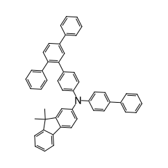 CC1(C)c2ccccc2-c2ccc(N(c3ccc(-c4ccccc4)cc3)c3ccc(-c4cc(-c5ccccc5)ccc4-c4ccccc4)cc3)cc21